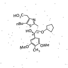 CCCCc1sc(C[C@H](OC2CCCC2)[C@H](O)c2cc(OC)c(C)c(OC)c2)nc1CC(=O)O